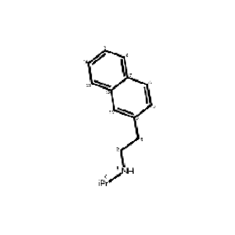 CC(C)NCCc1ccc2ccccc2c1